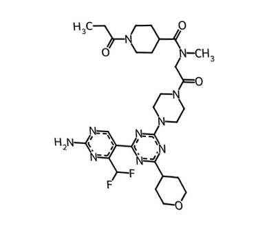 CCC(=O)N1CCC(C(=O)N(C)CC(=O)N2CCN(c3nc(-c4cnc(N)nc4C(F)F)nc(C4CCOCC4)n3)CC2)CC1